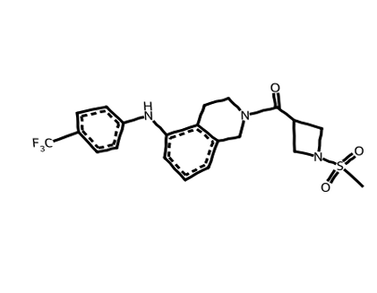 CS(=O)(=O)N1CC(C(=O)N2CCc3c(cccc3Nc3ccc(C(F)(F)F)cc3)C2)C1